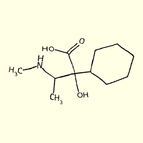 CNC(C)C(O)(C(=O)O)C1CCCCC1